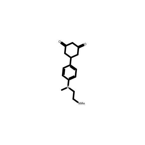 CNCCN(C)c1ccc(C2CC(=O)CC(=O)C2)cc1